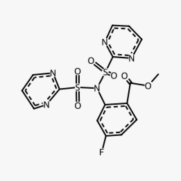 COC(=O)c1ccc(F)cc1N(S(=O)(=O)c1ncccn1)S(=O)(=O)c1ncccn1